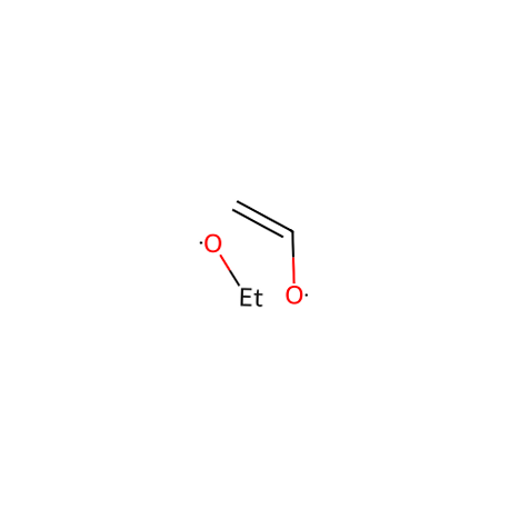 C=C[O].CC[O]